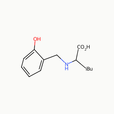 CCC(C)C(NCc1ccccc1O)C(=O)O